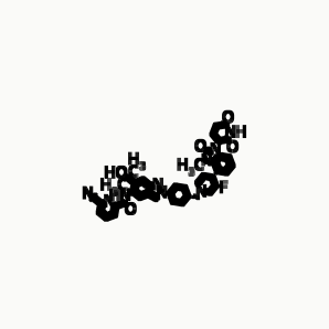 Cn1c(=O)n(C2CCC(=O)NC2=O)c2cccc([C@H]3CCN(C[C@H]4CC[C@H](n5cc6cc(NC(=O)c7cccc(C#N)n7)c(C(C)(C)O)cc6n5)CC4)C[C@H]3F)c21